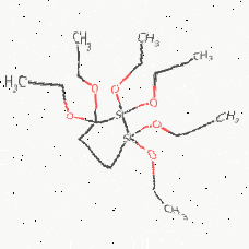 CCOC1(OCC)CC[Si](OCC)(OCC)[Si]1(OCC)OCC